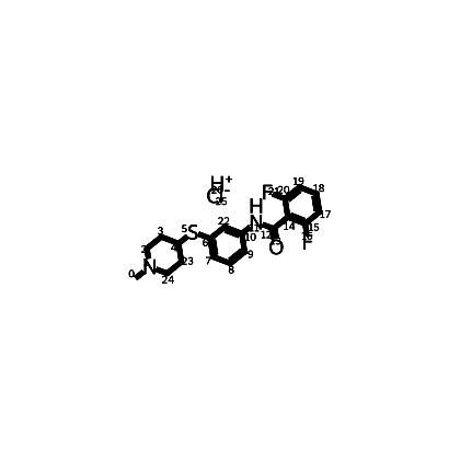 CN1CCC(Sc2cccc(NC(=O)c3c(F)cccc3F)c2)CC1.[Cl-].[H+]